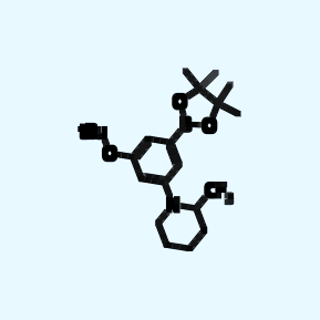 CC(C)(C)Oc1cc(B2OC(C)(C)C(C)(C)O2)cc(N2CCCCC2C(F)(F)F)c1